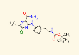 CCc1nc(C(N)=O)c(Nc2cccc(CCNC(=O)OC(C)(C)C)c2)nc1Cl